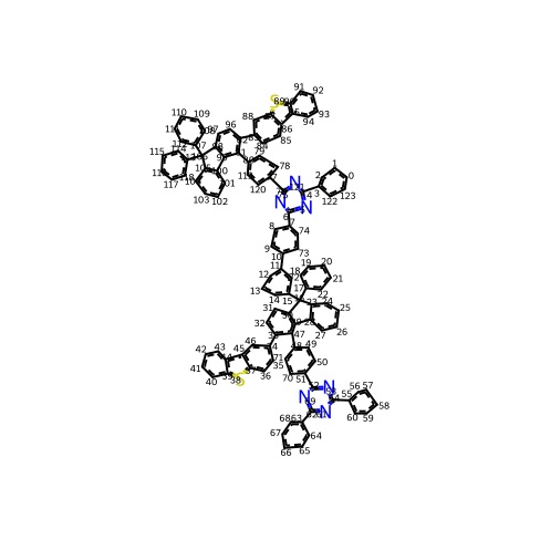 c1ccc(-c2nc(-c3ccc(-c4cccc(C5(c6ccccc6)c6ccccc6-c6c5ccc(-c5ccc7sc8ccccc8c7c5)c6-c5ccc(-c6nc(-c7ccccc7)nc(-c7ccccc7)n6)cc5)c4)cc3)nc(-c3ccc(-c4c(-c5ccc6c(c5)sc5ccccc56)ccc5c4-c4ccccc4C5(c4ccccc4)c4ccccc4)cc3)n2)cc1